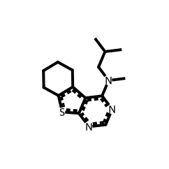 CC(C)CN(C)c1ncnc2sc3c(c12)CCCC3